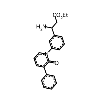 CCOC(=O)CC(N)c1cccc(-n2cccc(-c3ccccc3)c2=O)c1